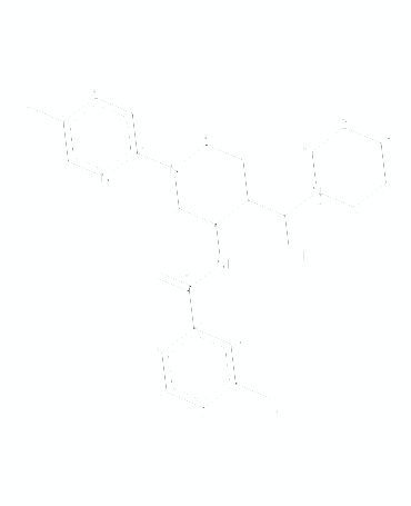 CC(C1CCN(c2ccc(Cl)cn2)CC1NC(=O)c1cccc(Cl)c1)N1CCCCC1